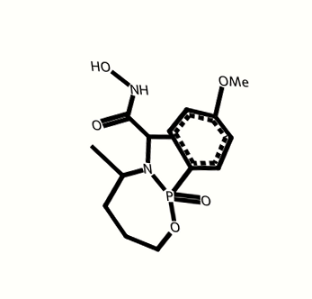 COc1ccc(P2(=O)OCCCC(C)N2C(C)C(=O)NO)cc1